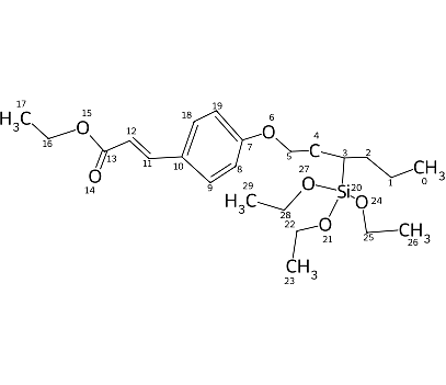 CCCC(CCOc1ccc(C=CC(=O)OCC)cc1)[Si](OCC)(OCC)OCC